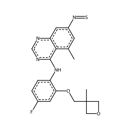 Cc1cc(N=S)cc2ncnc(Nc3ccc(F)cc3OCC3(C)COC3)c12